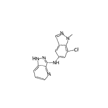 Cn1ncc2cc(Nc3n[nH]c4cccnc34)cc(Cl)c21